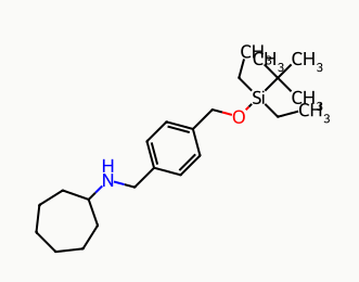 CC[Si](CC)(OCc1ccc(CNC2CCCCCC2)cc1)C(C)(C)C